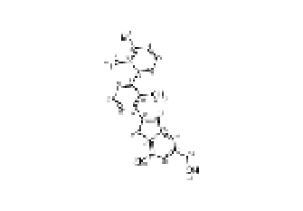 Cc1c(Br)cccc1-c1cccc(-c2nc3cc(CO)cc(Cl)c3o2)c1C